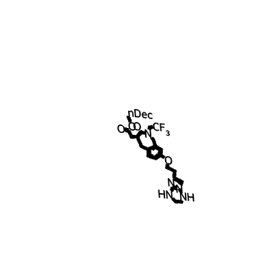 CCCCCCCCCCCOC(=O)CC1Cc2ccc(OCCc3cn4c(n3)NCCN4)cc2CN(CC(F)(F)F)C1=O